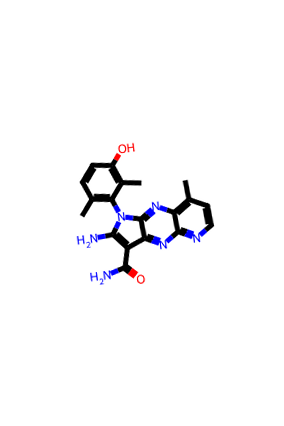 Cc1ccc(O)c(C)c1-n1c(N)c(C(N)=O)c2nc3nccc(C)c3nc21